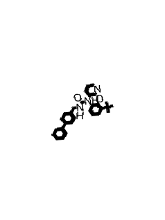 CC(C)(C)c1ccccc1Oc1ncccc1NC(=O)NCc1ccc(-c2ccccc2)cc1